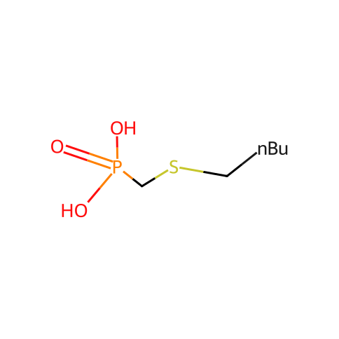 CCCCCSCP(=O)(O)O